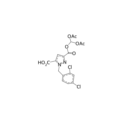 CC(=O)OC(OC(C)=O)OC(=O)c1cc(C(=O)O)n(Cc2ccc(Cl)cc2Cl)n1